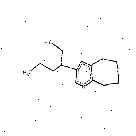 CCCC(CC)c1cnc2c(c1)CCCCC2